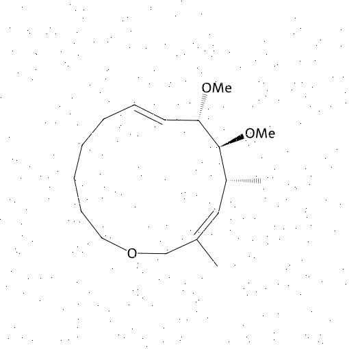 CO[C@H]1[C@H](C)/C=C(/C)COCCCCC/C=C/[C@@H]1OC